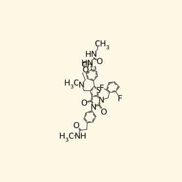 CCNC(=O)Nc1ccc(-c2sc3c(c2CN(C)CCOC)c(=O)n(-c2ccc(CC(=O)NC)cc2)c(=O)n3Cc2c(F)cccc2F)cc1